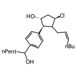 CCCC/C=C\CC1[C@H](Cl)C[C@@H](O)[C@@H]1c1ccc(C(O)CCCCC)cc1